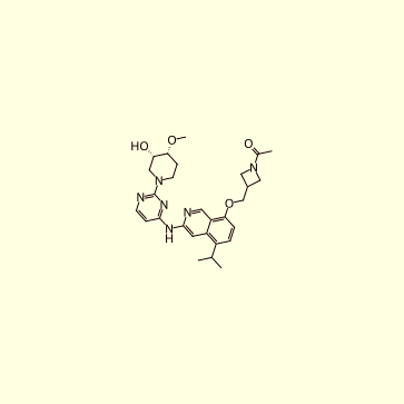 CO[C@@H]1CCN(c2nccc(Nc3cc4c(C(C)C)ccc(OCC5CN(C(C)=O)C5)c4cn3)n2)C[C@@H]1O